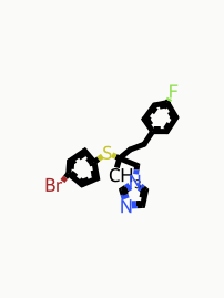 CC(CCc1ccc(F)cc1)(Cn1ccnc1)Sc1ccc(Br)cc1